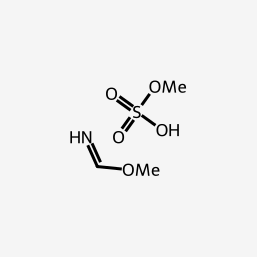 COC=N.COS(=O)(=O)O